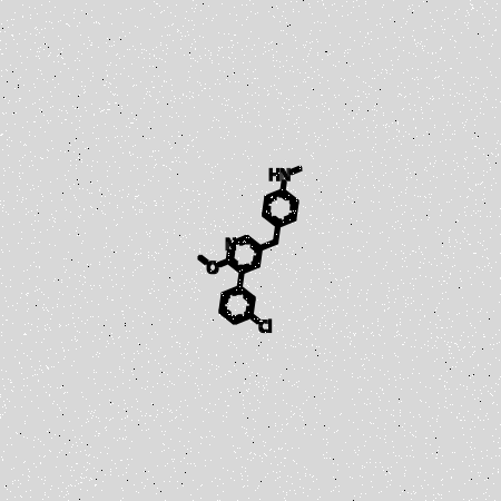 CNc1ccc(Cc2cnc(OC)c(-c3cccc(Cl)c3)c2)cc1